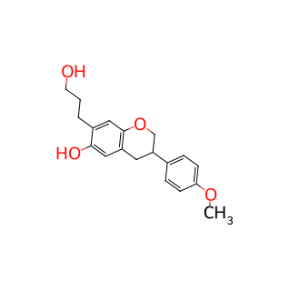 COc1ccc(C2COc3cc(CCCO)c(O)cc3C2)cc1